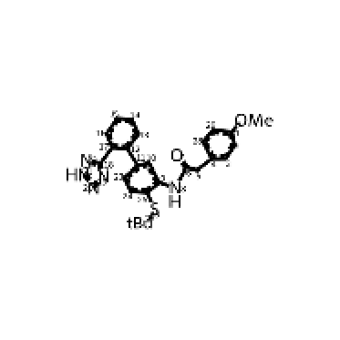 COc1ccc(CC(=O)Nc2cc(-c3ccccc3-c3nn[nH]n3)ccc2SC(C)(C)C)cc1